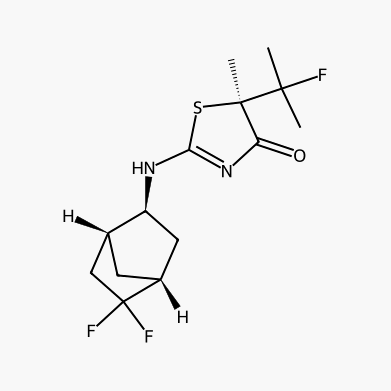 CC(C)(F)[C@]1(C)SC(N[C@H]2C[C@H]3C[C@@H]2CC3(F)F)=NC1=O